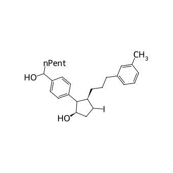 CCCCCC(O)c1ccc(C2[C@@H](CCCc3cccc(C)c3)C(I)C[C@H]2O)cc1